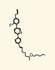 C=CCc1ccc(-c2ccc(-c3ccc(/C=C/CCCC(C)OCCCCC)cc3)nc2)c(F)c1